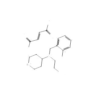 CCCN(Cc1ccccc1Cl)C1CCNCC1.O=C(O)C=CC(=O)O